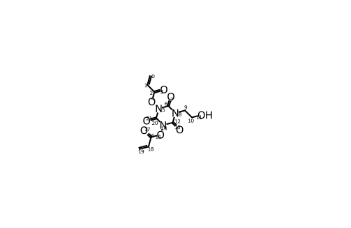 C=CC(=O)On1c(=O)n(CCO)c(=O)n(OC(=O)C=C)c1=O